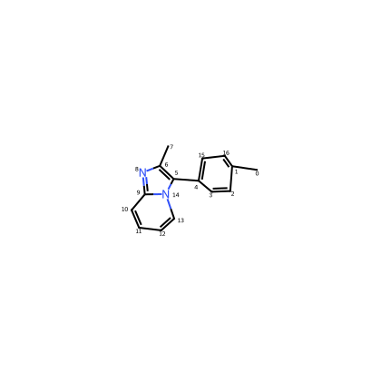 Cc1ccc(-c2c(C)nc3ccccn23)cc1